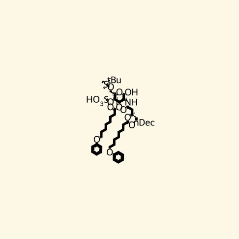 CCCCCCCCCCC[C@@H](CC(=O)N[C@H]1C(O)O[C@H](CO[Si](C)(C)C(C)(C)C)[C@@H](OS(=O)(=O)O)[C@@H]1OC(=O)CCCCCCCOc1ccccc1)OC(=O)CCCCCCCOc1ccccc1